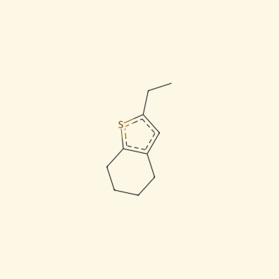 CCc1cc2c(s1)CCCC2